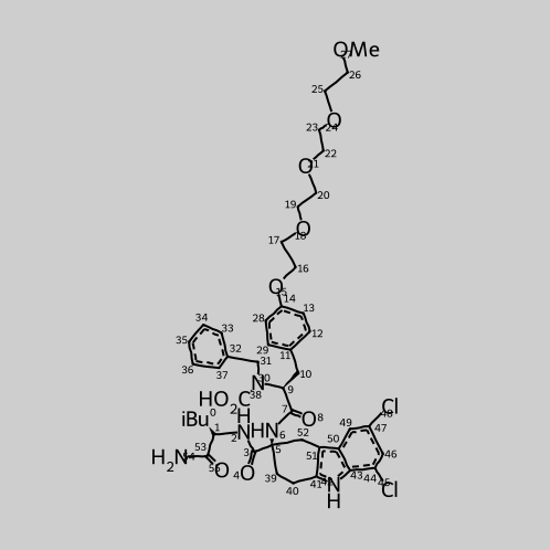 CC[C@H](C)C(NC(=O)[C@@]1(NC(=O)[C@H](Cc2ccc(OCCOCCOCCOCCOC)cc2)N(Cc2ccccc2)C(=O)O)CCc2[nH]c3c(Cl)cc(Cl)cc3c2C1)C(N)=O